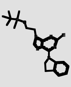 CC(C)(C)[Si](C)(C)OCCn1cnc2c(N3CCc4ccccc43)nc(Cl)nc21